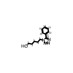 OCCCCCn1nnnc1-c1ccccc1